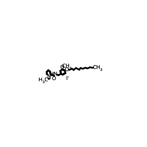 CCCCCCCCCCCCOc1ccc(CNC(=O)c2cccc[n+]2CC)cc1OC.[I-]